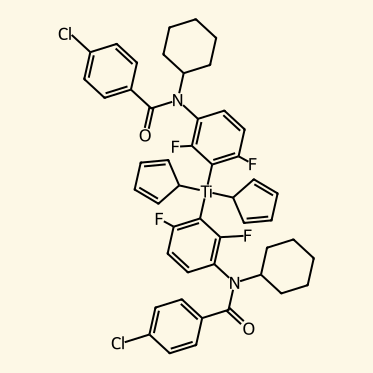 O=C(c1ccc(Cl)cc1)N(c1ccc(F)[c]([Ti]([c]2c(F)ccc(N(C(=O)c3ccc(Cl)cc3)C3CCCCC3)c2F)([CH]2C=CC=C2)[CH]2C=CC=C2)c1F)C1CCCCC1